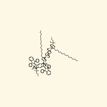 CCCCCCCCCCCCCCc1cc(-c2c3cc4c(=C5C(=O)c6ccccc6C5=O)n(CC)c(C(C)(C)CCC)c4cc3c(=C3C(=O)c4ccccc4C3=O)n2CC)sc1-c1cc2sc(-c3sc(C(C)(CC)CCC)cc3CCCCCCCCCCCCCC)cc2s1